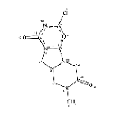 CN1CC2Cn3c(cc(Cl)nc3=O)N2CC1=O